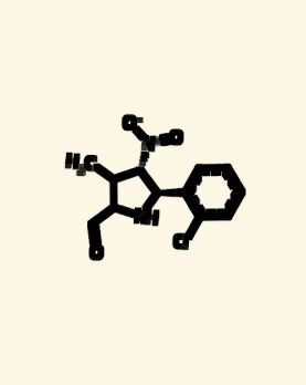 CC1C(C=O)N[C@H](c2ccccc2Cl)[C@H]1[N+](=O)[O-]